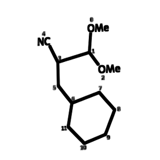 COC(OC)C(C#N)CC1CCCCC1